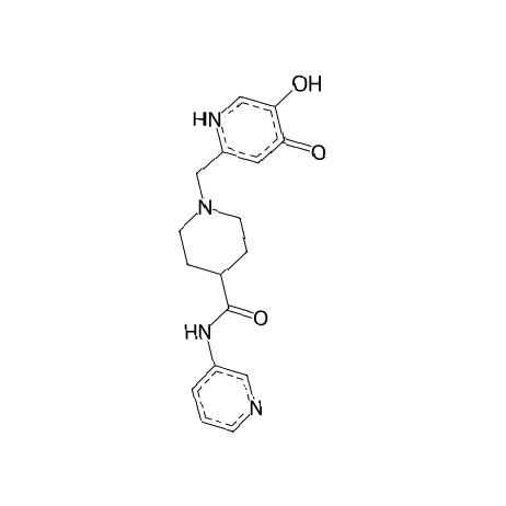 O=C(Nc1cccnc1)C1CCN(Cc2cc(=O)c(O)c[nH]2)CC1